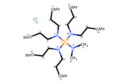 COCCN(CCOC)[P+](N(C)C)(N(CCOC)CCOC)N(CCOC)CCOC.[Cl-]